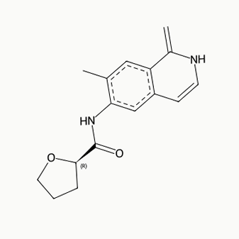 C=C1NC=Cc2cc(NC(=O)[C@H]3CCCO3)c(C)cc21